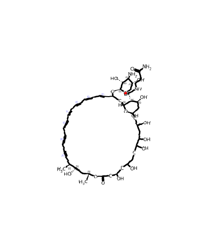 C[C@H]1C[C@H](O)[C@@H](C)/C=C/C=C/C=C/C=C/C=C/C=C/C=C/C(O[C@@H]2OC[C@@H](O)[C@H](N)[C@H]2O)C[C@@H]2OC(O)(CC(O)CC(O)C(O)CCC(O)CC(O)CC(=O)O1)C[C@H](O)[C@H]2C(=O)NCCC(N)=O